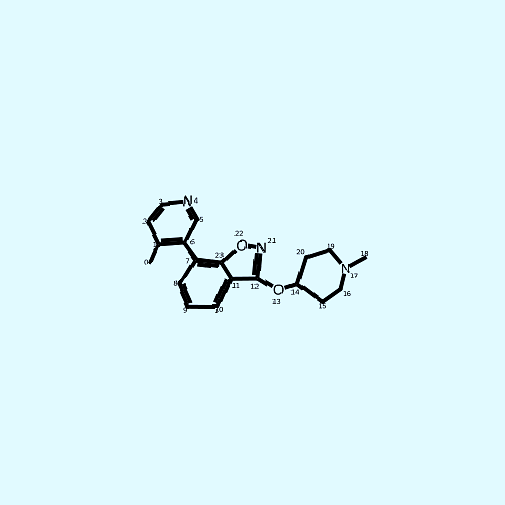 Cc1ccncc1-c1cccc2c(OC3CCN(C)CC3)noc12